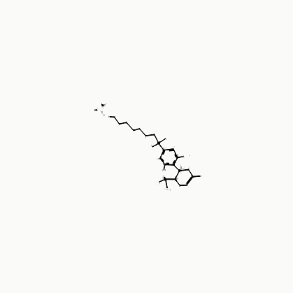 CC1=CC[C@@H]2[C@@H](C1)c1c(O)cc(C(C)(C)CCCCCCCO[N+](=O)[O-])cc1OC2(C)C